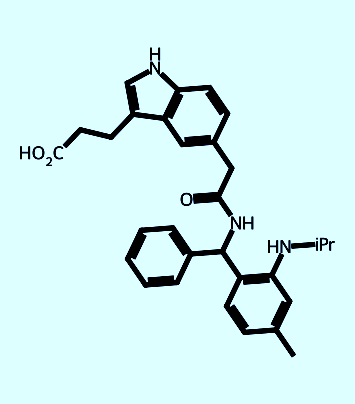 Cc1ccc(C(NC(=O)Cc2ccc3[nH]cc(CCC(=O)O)c3c2)c2ccccc2)c(NC(C)C)c1